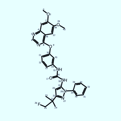 COc1cc2ncnc(Oc3cccc(NC(=O)Nc4cc(C(C)(C)CF)nn4-c4ccccc4)c3)c2cc1OC